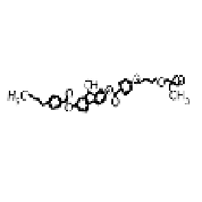 CCCCCc1ccc(C(=O)Oc2ccc3c(c2)C(C)c2cc(OC(=O)c4ccc(OCCCCOCC5(CC)COC5)cc4)ccc2-3)cc1